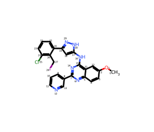 COc1ccc2nc(-c3cccnc3)nc(Nc3cc(-c4cccc(Cl)c4CI)n[nH]3)c2c1